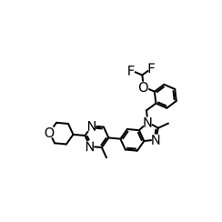 Cc1nc(C2CCOCC2)ncc1-c1ccc2nc(C)n(Cc3ccccc3OC(F)F)c2c1